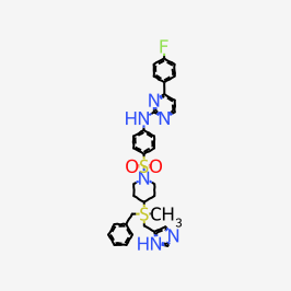 CS(Cc1ccccc1)(Cc1cnc[nH]1)C1CCN(S(=O)(=O)c2ccc(Nc3nccc(-c4ccc(F)cc4)n3)cc2)CC1